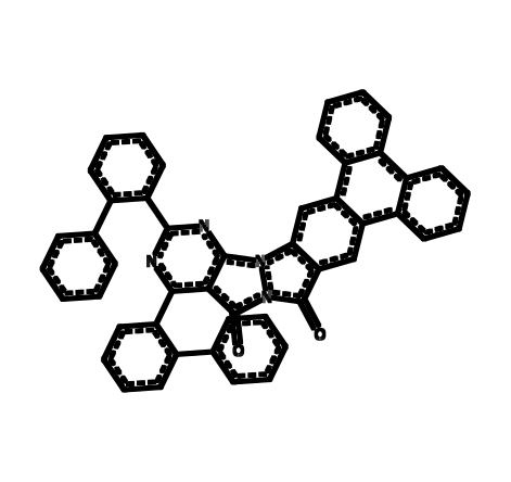 O=c1c2cc3c4ccccc4c4ccccc4c3cc2n2c3nc(-c4ccccc4-c4ccccc4)nc(-c4ccccc4-c4ccccc4)c3c(=O)n12